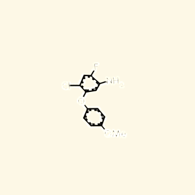 COc1ccc(Oc2cc(N)c(F)cc2Cl)cc1